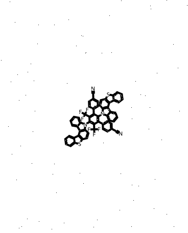 N#Cc1ccc(-c2c(-n3c4ccccc4c4c5c(ccc43)sc3ccccc35)c(-c3ccc(C#N)cc3)c(C(F)(F)F)c(-n3c4ccccc4c4c5c(ccc43)sc3ccccc35)c2C(F)(F)F)cc1